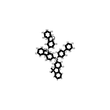 CC1(C)c2ccccc2-c2ccc(N(c3ccc(-c4ccccc4)cc3)c3ccc4c5ccccc5n(-c5ccc6oc7ccccc7c6c5)c4c3)cc21